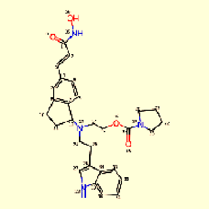 O=C(/C=C/c1ccc2c(c1)CCC2N(CCOC(=O)N1CCCC1)CCc1c[nH]c2ccccc12)NO